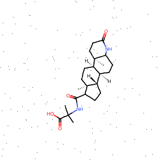 CC(C)(NC(=O)C1CC[C@H]2[C@@H]3CCC4NC(=O)CC[C@]4(C)[C@@H]3CC[C@]12C)C(=O)O